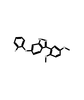 COc1ccc(OC)c(-c2n[nH]c3cc(Oc4ccccc4F)ccc23)c1